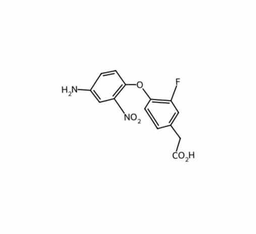 Nc1ccc(Oc2ccc(CC(=O)O)cc2F)c([N+](=O)[O-])c1